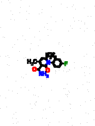 Cc1cc(F)ccc1-n1c(C)cc(C)c(C(N)=O)c1=O